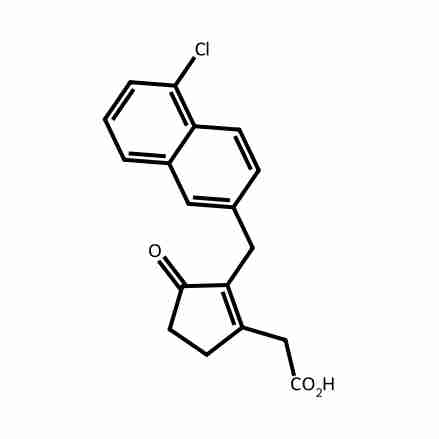 O=C(O)CC1=C(Cc2ccc3c(Cl)cccc3c2)C(=O)CC1